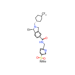 CC[C@@H]1c2ccc(C(=O)NCc3ccc(S(=O)(=O)NC)cn3)cc2CN1C[C@H]1CC[C@H](C(F)(F)F)CC1